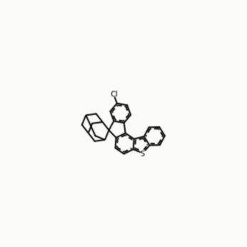 Clc1ccc2c(c1)C1(c3ccc4sc5ccccc5c4c3-2)C2CC3CC(C2)CC1C3